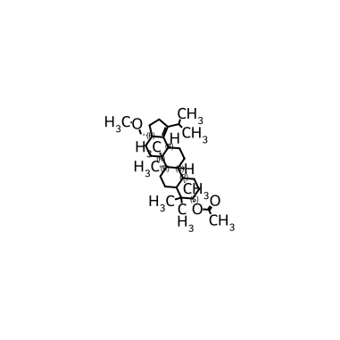 COC[C@]12CCC(C(C)C)=C1[C@H]1CC[C@@H]3[C@@]4(C)CC[C@H](OC(C)=O)C(C)(C)C4CC[C@@]3(C)[C@]1(C)CC2